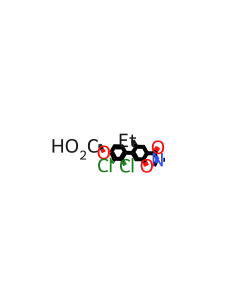 CCC1CC(C(=O)N(C)C)C(=O)C=C1c1ccc(OCC(=O)O)c(Cl)c1Cl